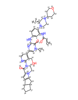 C=CC(=O)Nc1cc(Nc2nc(-c3ccnc(N4CCn5c(cc6c5CC5CCCC65)C4=O)c3CO)cn(C)c2=O)ccc1N1CCN(C2CCOCC2)C[C@@H]1C